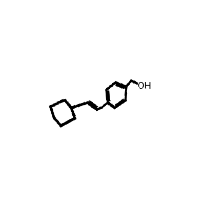 OCc1ccc(C=CC2CCCCC2)cc1